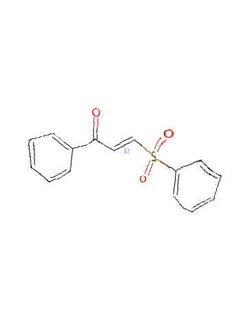 O=C(/C=C/S(=O)(=O)c1ccccc1)c1ccccc1